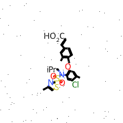 Cc1csc(S(=O)(=O)N(CC(C)C)c2cc(Cl)c(C)cc2OCc2ccc(C=CC(=O)O)cc2C)n1